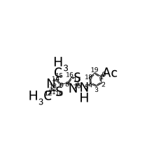 CC(=O)c1ccc(Nc2nc(-c3sc(C)nc3C)cs2)cc1